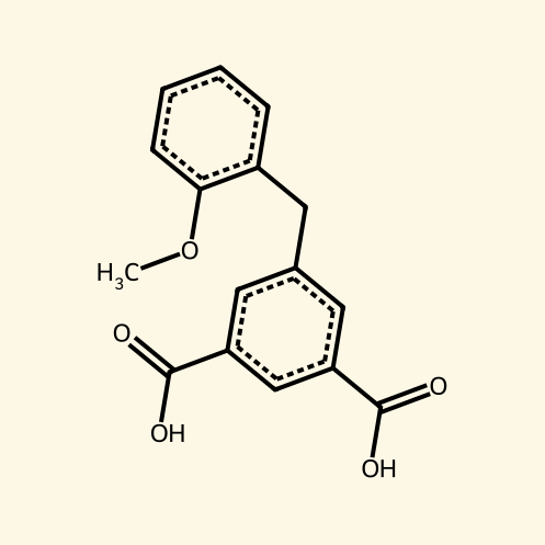 COc1ccccc1Cc1cc(C(=O)O)cc(C(=O)O)c1